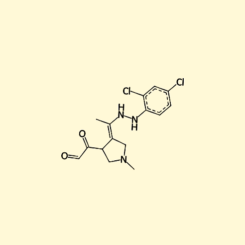 CC(NNc1ccc(Cl)cc1Cl)=C1CN(C)CC1C(=O)C=O